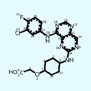 O=C(O)COC1CCC(Nc2ncc3ncnc(Nc4ccc(F)c(Cl)c4)c3n2)CC1